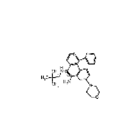 CC(C)(C)CNC(=O)c1ccnc(-c2ccccc2)c1-c1ccc(N2CCOCC2)cc1C(N)=O